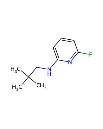 CC(C)(C)CNc1cccc(F)n1